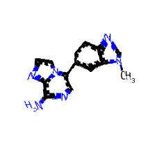 Cn1cnc2ccc(-c3cnc(N)c4nccn34)cc21